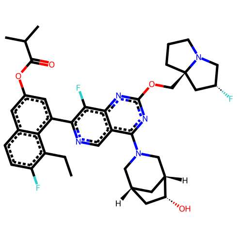 CCc1c(F)ccc2cc(OC(=O)C(C)C)cc(-c3ncc4c(N5C[C@@H]6C[C@H](C5)[C@H](O)C6)nc(OC[C@@]56CCCN5C[C@H](F)C6)nc4c3F)c12